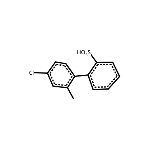 Cc1cc(Cl)ccc1-c1ccccc1S(=O)(=O)O